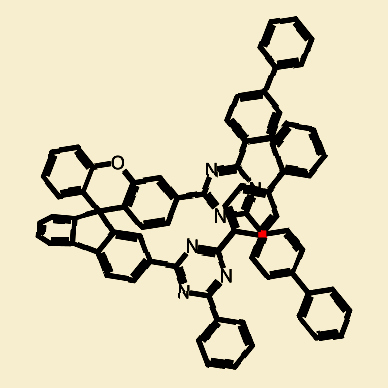 c1ccc(-c2ccc(-c3nc(-c4ccc(-c5ccccc5)cc4)nc(-c4ccc5c(c4)Oc4ccccc4C54c5ccccc5-c5ccc(-c6nc(-c7ccccc7)nc(-c7ccc(-c8ccccc8)cc7)n6)cc54)n3)cc2)cc1